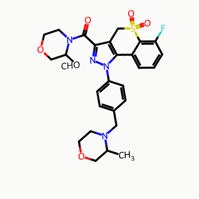 CC1COCCN1Cc1ccc(-n2nc(C(=O)N3CCOCC3C=O)c3c2-c2cccc(F)c2S(=O)(=O)C3)cc1